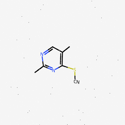 Cc1ncc(C)c(SC#N)n1